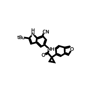 CC(C)(C)c1cc2cc(NC(=O)C3(c4ccc5cocc5c4)CC3)cc(C#N)c2[nH]1